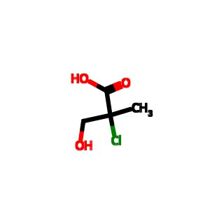 CC(Cl)(CO)C(=O)O